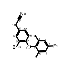 Cc1cc(F)cc(C)c1Oc1ccc(CC#N)cc1Br